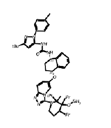 Cc1ccc(-n2nc(C(C)(C)C)cc2NC(=O)N[C@H]2CC[C@@H](Oc3ccc4nnc(N5CCC(C(C)C)C(O[SiH3])(C(C)C)C5(C)C(C)C)n4c3)c3ccccc32)cc1